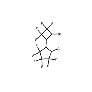 FC1(F)C(Br)C(C2C(Cl)C(F)(F)C(F)(F)C2(F)F)C1(F)F